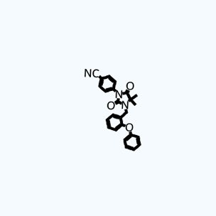 CC1(C)C(=O)N(c2ccc(C#N)cc2)C(=O)N1Cc1ccccc1Oc1ccccc1